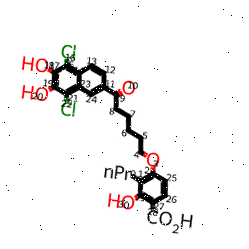 CCCc1c(OCCCCCC(=O)c2ccc3c(Cl)c(O)c(O)c(Cl)c3c2)ccc(C(=O)O)c1O